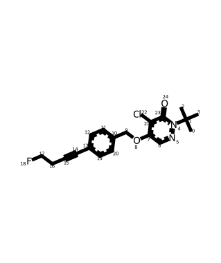 CC(C)(C)n1ncc(OCc2ccc(C#CCCF)cc2)c(Cl)c1=O